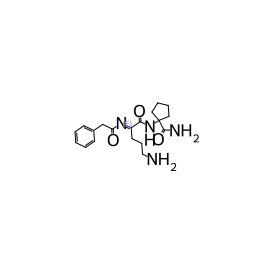 NCCC/C(=N\C(=O)Cc1ccccc1)C(=O)NC1(C(N)=O)CCCC1